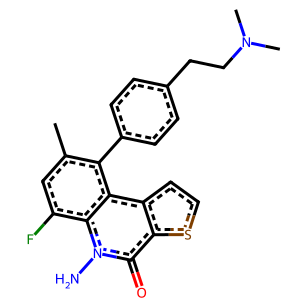 Cc1cc(F)c2c(c1-c1ccc(CCN(C)C)cc1)c1ccsc1c(=O)n2N